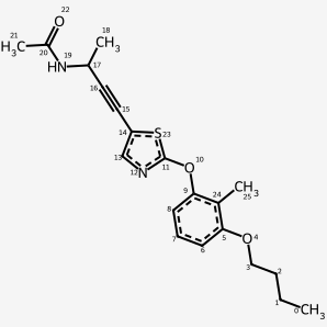 CCCCOc1cccc(Oc2ncc(C#CC(C)NC(C)=O)s2)c1C